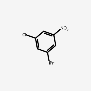 C[C](C)c1cc(Cl)cc([N+](=O)[O-])c1